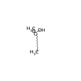 CCCCCCCCCCCCc1ccc(OCC)c(CCO)c1